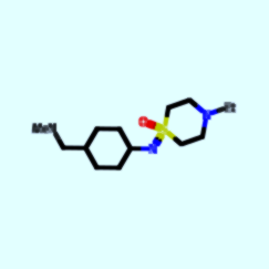 CCN1CCS(=O)(=NC2CCC(CNC)CC2)CC1